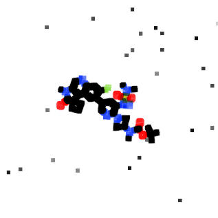 CN1C(=O)C2(CCC2)c2c1cnc1cc(F)c(-c3cnc(N4CC(N(C)C(=O)OC(C)(C)C)C4)c(NS(=O)(=O)N(C)C)c3)cc21